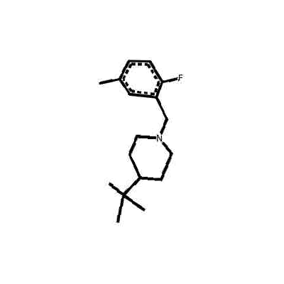 Cc1ccc(F)c(CN2CCC(C(C)(C)C)CC2)c1